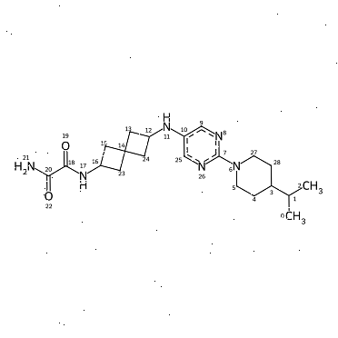 CC(C)C1CCN(c2ncc(NC3CC4(CC(NC(=O)C(N)=O)C4)C3)cn2)CC1